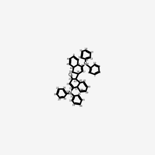 C1=CC2C(N(c3ccccc3)c3ccccc3)=CC3C(OC4C=C(N(c5ccccc5)c5ccccc5)C5C=CC=CC5C43)C2C=C1